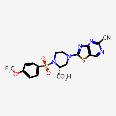 N#Cc1ncc2sc(N3CCN(S(=O)(=O)c4ccc(OC(F)(F)F)cc4)[C@@H](C(=O)O)C3)nc2n1